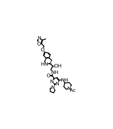 CC(=O)N1CCC(Nc2cc(C(=O)NC[C@@H](O)[C@@H]3Cc4ccc(OCc5ocnc5C)cc4CN3)nc(N3CCCC3)n2)CC1